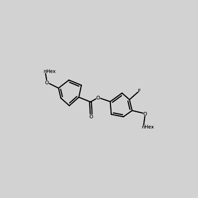 CCCCCCOc1ccc(C(=O)Oc2ccc(OCCCCCC)c(F)c2)cc1